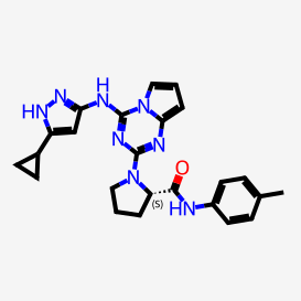 Cc1ccc(NC(=O)[C@@H]2CCCN2c2nc(Nc3cc(C4CC4)[nH]n3)n3cccc3n2)cc1